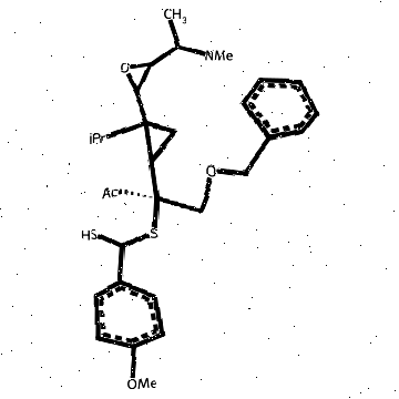 CNC(C)C1OC1C1(C(C)C)CC1[C@@](COCc1ccccc1)(SC(S)c1ccc(OC)cc1)C(C)=O